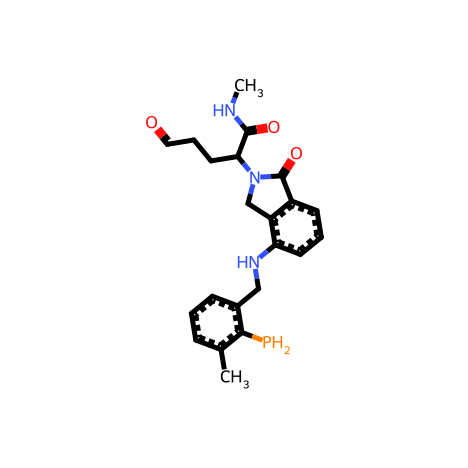 CNC(=O)C(CCC=O)N1Cc2c(NCc3cccc(C)c3P)cccc2C1=O